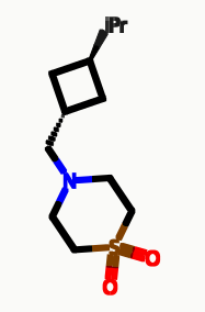 CC(C)[C@H]1C[C@H](CN2CCS(=O)(=O)CC2)C1